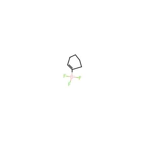 F[B-](F)(F)C1=CCCCC1